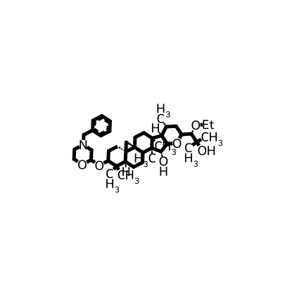 CCO[C@@H](C1C[C@@H](C)[C@H]2C(O1)[C@H](O)[C@@]1(C)C3CC[C@H]4C(C)(C)C(OC5CN(Cc6ccccc6)CCO5)CC[C@@]45C[C@@]35CC[C@]21C)C(C)(C)O